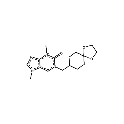 Cn1cnc2c1cn(CC1CCC3(CC1)OCCO3)c(=O)[n+]2[O-]